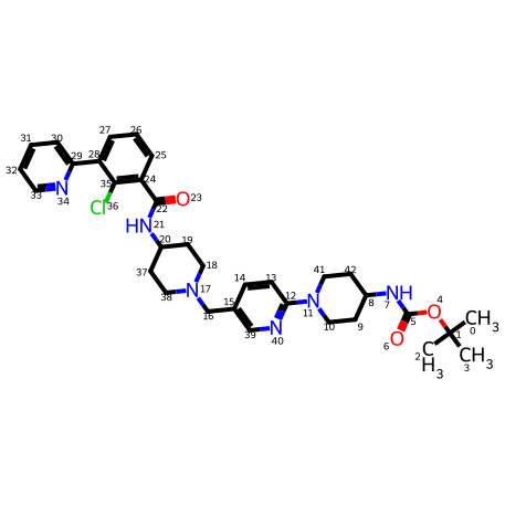 CC(C)(C)OC(=O)NC1CCN(c2ccc(CN3CCC(NC(=O)c4cccc(-c5ccccn5)c4Cl)CC3)cn2)CC1